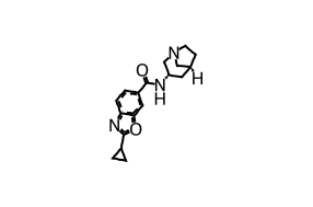 O=C(N[C@@H]1C[C@H]2CCN(C2)C1)c1ccc2nc(C3CC3)oc2c1